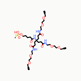 C#CCOCCOCCNC(=O)CCC(CCC(=O)NCCOCCOCC#C)(CCC(=O)NCCOCCOCC#C)NC(=O)CCCCOP(=O)(O)SC